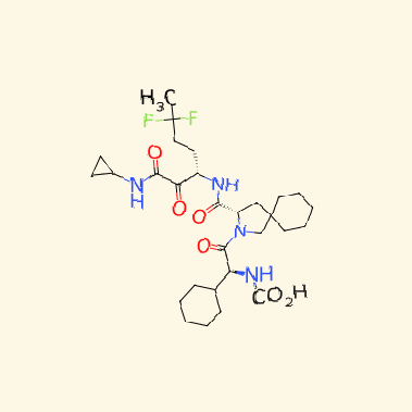 CC(F)(F)CC[C@H](NC(=O)[C@@H]1CC2(CCCCC2)CN1C(=O)[C@@H](NC(=O)O)C1CCCCC1)C(=O)C(=O)NC1CC1